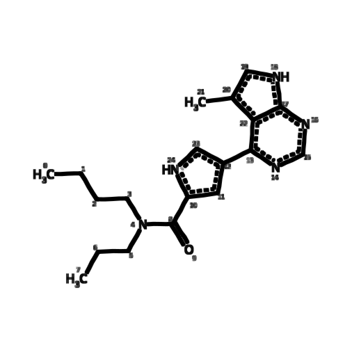 CCCCN(CCC)C(=O)c1cc(-c2ncnc3[nH]cc(C)c23)c[nH]1